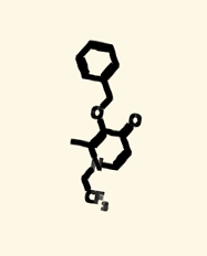 Cc1c(OCc2ccccc2)c(=O)ccn1CC(F)(F)F